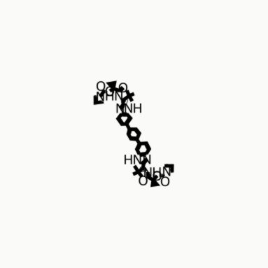 CC(C)(C)[C@H](NC(=O)C1(OC(=O)N2CCC2)CC1)c1nc2ccc(-c3ccc(-c4ccc5nc([C@@H](NC(=O)C6(OC(=O)N7CCC7)CC6)C(C)(C)C)[nH]c5c4)cc3)cc2[nH]1